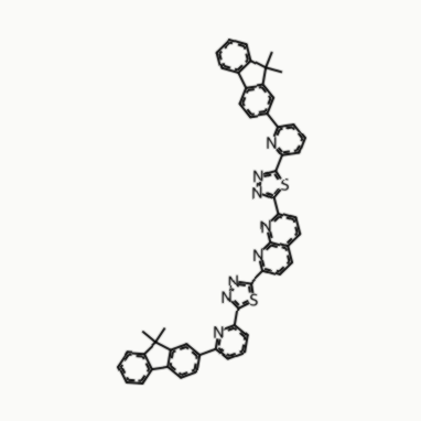 CC1(C)c2ccccc2-c2ccc(-c3cccc(-c4nnc(-c5ccc6ccc(-c7nnc(-c8cccc(-c9ccc%10c(c9)C(C)(C)c9ccccc9-%10)n8)s7)nc6n5)s4)n3)cc21